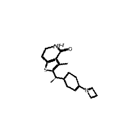 Cc1c([C@H](C)C2CCC(N3CCC3)CC2)sc2c1C(=O)NCC2